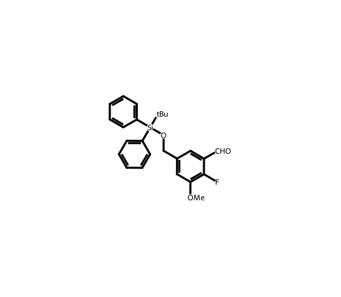 COc1cc(CO[Si](c2ccccc2)(c2ccccc2)C(C)(C)C)cc(C=O)c1F